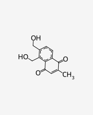 CC1=CC(=O)c2c(ccc(CO)c2CO)C1=O